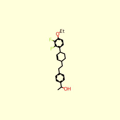 CCOc1ccc(C2C=CC(CCc3ccc(C(C)O)cc3)CC2)c(F)c1F